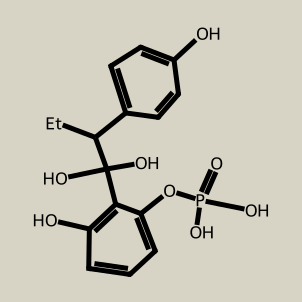 CCC(c1ccc(O)cc1)C(O)(O)c1c(O)cccc1OP(=O)(O)O